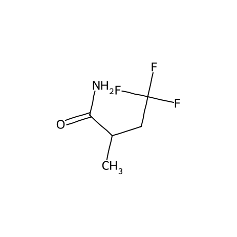 CC(CC(F)(F)F)C(N)=O